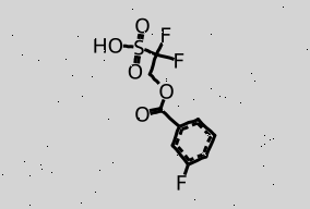 O=C(OCC(F)(F)S(=O)(=O)O)c1cccc(F)c1